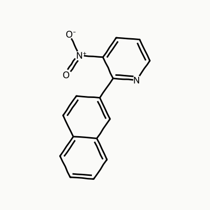 O=[N+]([O-])c1cccnc1-c1ccc2ccccc2c1